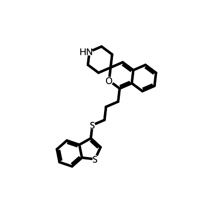 C1=c2ccccc2=C(CCCSc2csc3ccccc23)OC12CCNCC2